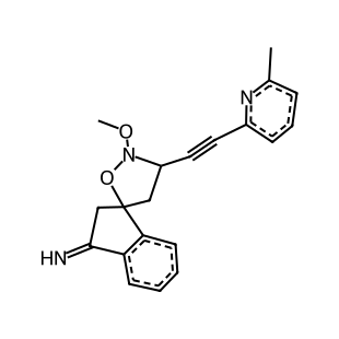 CON1OC2(CC(=N)c3ccccc32)CC1C#Cc1cccc(C)n1